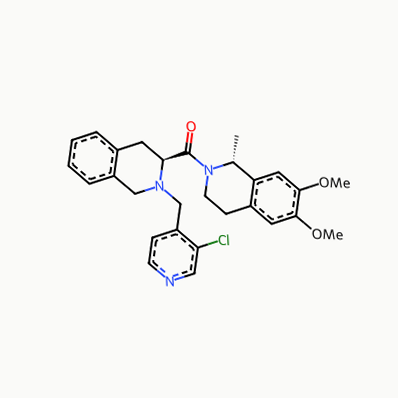 COc1cc2c(cc1OC)[C@@H](C)N(C(=O)[C@@H]1Cc3ccccc3CN1Cc1ccncc1Cl)CC2